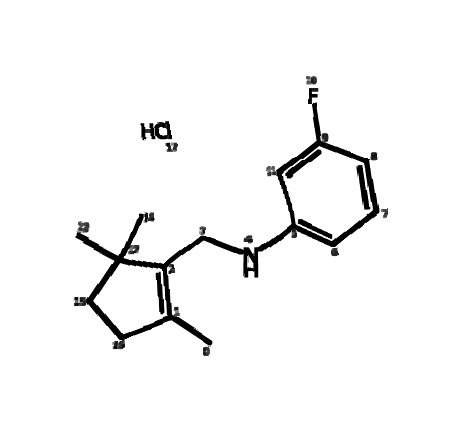 CC1=C(CNc2cccc(F)c2)C(C)(C)CC1.Cl